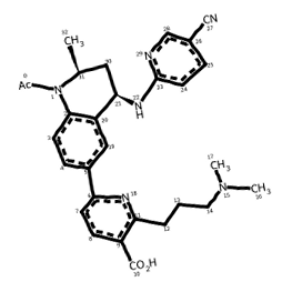 CC(=O)N1c2ccc(-c3ccc(C(=O)O)c(CCCN(C)C)n3)cc2[C@H](Nc2ccc(C#N)cn2)C[C@@H]1C